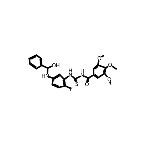 COc1cc(C(=O)NC(=S)Nc2cc(NC(O)c3ccccc3)ccc2F)cc(OC)c1OC